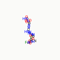 N#Cc1c(NS(=O)(=O)N2CC[C@@H](F)C2)ccc(F)c1Oc1ccc2ncn(-c3cnc(NC4CCC(N5CCN(c6ccc7c(c6)C(=O)N(C6CCC(=O)NC6=O)C7=O)CC5)CC4)nc3)c(=O)c2c1